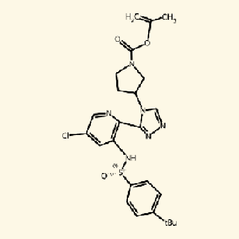 C=C(C)OC(=O)N1CCC(n2cnnc2-c2ncc(Cl)cc2N[S@@+]([O-])c2ccc(C(C)(C)C)cc2)C1